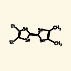 CCC1=C(CC)[Se]C(=C2[Se]C(C)=C(C)[Se]2)[Se]1